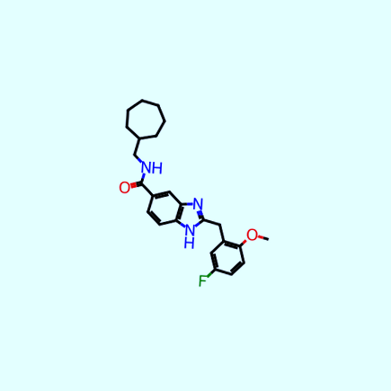 COc1ccc(F)cc1Cc1nc2cc(C(=O)NCC3CCCCCC3)ccc2[nH]1